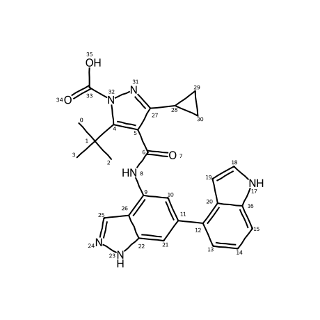 CC(C)(C)c1c(C(=O)Nc2cc(-c3cccc4[nH]ccc34)cc3[nH]ncc23)c(C2CC2)nn1C(=O)O